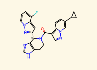 O=C(c1cnn2cc(C3CC3)ccc12)N1CCc2[nH]cnc2[C@@H]1c1cc2c(F)cccn2n1